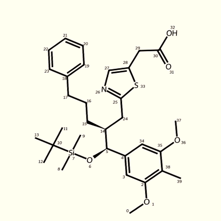 COc1cc([C@@H](O[Si](C)(C)C(C)(C)C)[C@@H](CCCc2ccccc2)Cc2ncc(CC(=O)O)s2)cc(OC)c1C